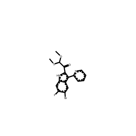 COC(SC)C(=O)c1[nH]c2cc(F)c(Br)cc2c1-c1ccccn1